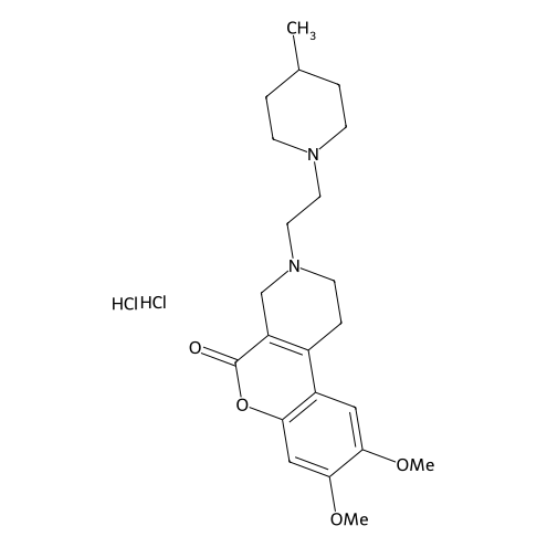 COc1cc2oc(=O)c3c(c2cc1OC)CCN(CCN1CCC(C)CC1)C3.Cl.Cl